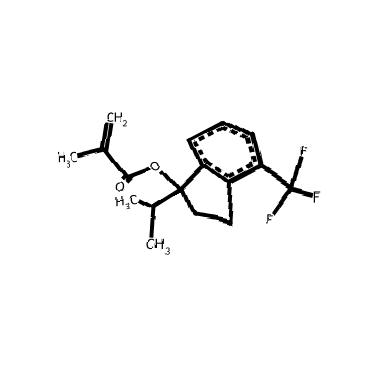 C=C(C)C(=O)OC1(C(C)C)CCc2c(C(F)(F)F)cccc21